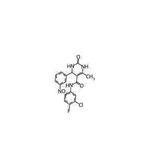 CC1=C(C(=O)Nc2ccc(F)c(Cl)c2)C(c2cccc([N+](=O)[O-])c2)NC(=O)N1